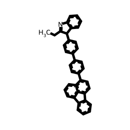 CCC1=Nc2ccccc2C1c1ccc(-c2ccc(-c3ccc4c5c(cccc35)-c3ccccc3-4)cc2)cc1